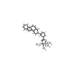 CC1(C)OB(c2cccc(-c3ccc4c(ccc5c6ccccc6oc45)c3)c2)OC1(C)C